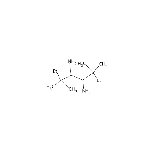 CCC(C)(C)C(N)C(N)C(C)(C)CC